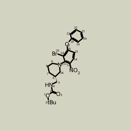 CC(C)(C)OC(=O)NC[C@@H]1CCCN(c2c([N+](=O)[O-])ccc(Oc3ccccc3)c2Br)C1